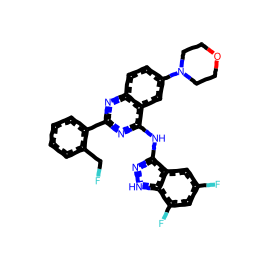 FCc1ccccc1-c1nc(Nc2n[nH]c3c(F)cc(F)cc23)c2cc(N3CCOCC3)ccc2n1